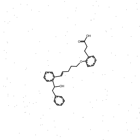 O=C(O)CCc1ccccc1OCCC/C=C/c1ccccc1C(O)Cc1ccccc1